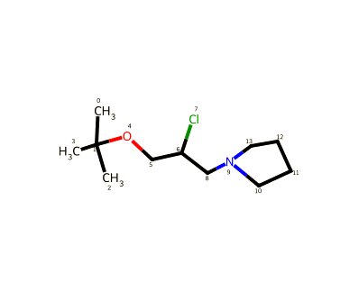 CC(C)(C)OCC(Cl)CN1CCCC1